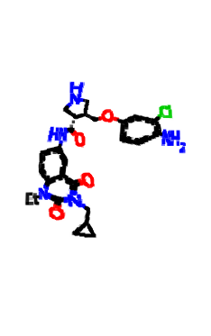 CCn1c(=O)n(CC2CC2)c(=O)c2cc(NC(=O)[C@@H]3CNC[C@H]3COc3ccc(N)c(Cl)c3)ccc21